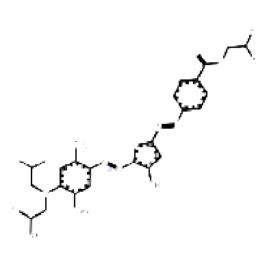 CCCCC(CC)CN(CC(CC)CCCC)c1cc(C)c(/N=N/c2sc(N=Nc3ccc(C(=O)OCC(CC)CC)cc3)cc2C#N)cc1OC